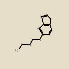 OCCCCc1ccc2c(c1)C=CC2